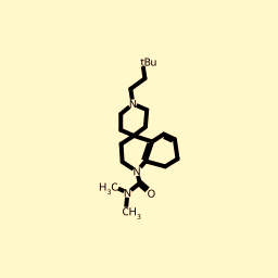 CN(C)C(=O)N1CCC2(CCN(CCC(C)(C)C)CC2)C2=C1CCC=C2